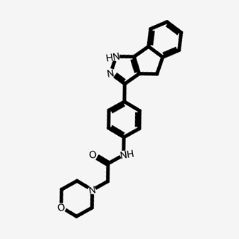 O=C(CN1CCOCC1)Nc1ccc(-c2n[nH]c3c2Cc2ccccc2-3)cc1